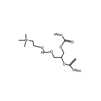 C=C(CCCCCCCCC)OC(COPOCC[N+](C)(C)C)COC(=O)CCCCCCCCC